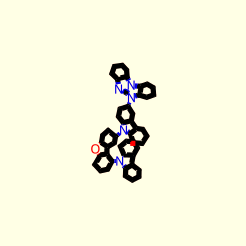 c1ccc2c(c1)nc1n(-c3ccc4c(c3)c3ccccc3n4-c3ccc4oc5cccc(-n6c7ccccc7c7ccccc76)c5c4c3)c3ccccc3n21